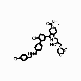 C[C@H]1COCCN1C[C@H](O)Cn1nc(-c2ccc(Cl)c(-c3ccc(CNCc4ccc(Cl)cc4)cc3)c2)c2c1CCN(C(N)=O)C2